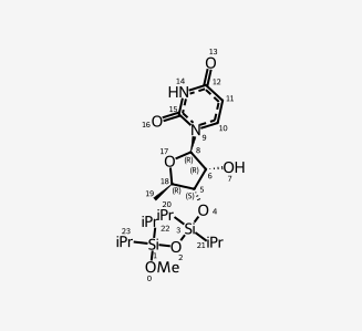 CO[Si](O[Si](O[C@H]1[C@@H](O)[C@H](n2ccc(=O)[nH]c2=O)O[C@@H]1C)(C(C)C)C(C)C)(C(C)C)C(C)C